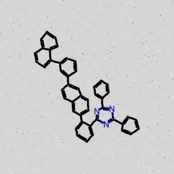 c1ccc(-c2nc(-c3ccccc3)nc(-c3ccccc3-c3ccc4cc(-c5cccc(-c6cccc7ccccc67)c5)ccc4c3)n2)cc1